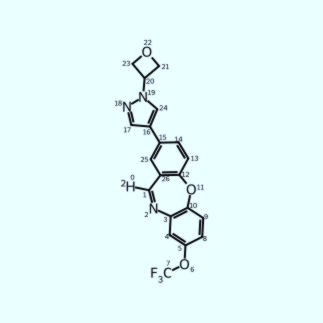 [2H]C1=Nc2cc(OC(F)(F)F)ccc2Oc2ccc(-c3cnn(C4COC4)c3)cc21